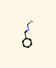 CC(=O)C/N=C/c1ccccc1